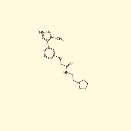 Cc1n[nH]cc1-c1c[c]cc(OCC(=O)NCCN2CCCC2)c1